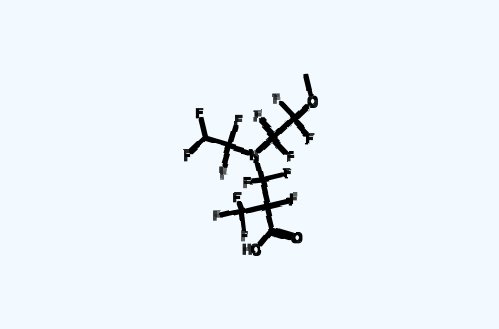 COC(F)(F)C(F)(F)N(C(F)(F)C(F)F)C(F)(F)C(F)(C(=O)O)C(F)(F)F